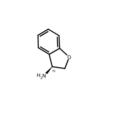 N[C@@H]1COc2ccccc21